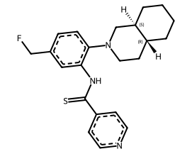 FCc1ccc(N2CC[C@H]3CCCC[C@@H]3C2)c(NC(=S)c2ccncc2)c1